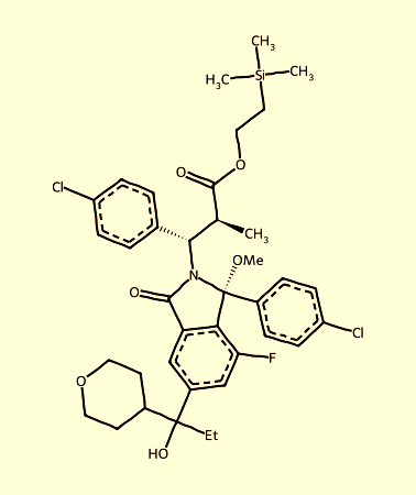 CCC(O)(c1cc(F)c2c(c1)C(=O)N([C@H](c1ccc(Cl)cc1)[C@H](C)C(=O)OCC[Si](C)(C)C)[C@@]2(OC)c1ccc(Cl)cc1)C1CCOCC1